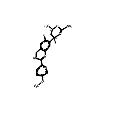 C[C@@]1(c2cc3c(cc2F)CNC(c2ccc(OC(F)(F)F)cn2)=N3)C[C@@H](C(F)(F)F)OC(N)=N1